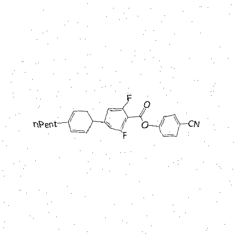 CCCCCC1=CCC(c2cc(F)c(C(=O)Oc3ccc(C#N)cc3)c(F)c2)C=C1